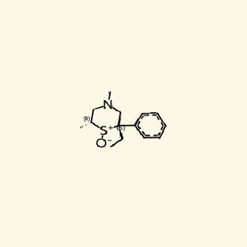 CC[C@]1(c2ccccc2)CN(C)C[C@@H](C)[S+]1[O-]